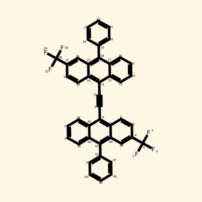 FC(F)(F)c1ccc2c(C#Cc3c4ccccc4c(-c4ccccc4)c4cc(C(F)(F)F)ccc34)c3ccccc3c(-c3ccccc3)c2c1